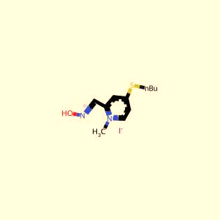 CCCCSc1cc[n+](C)c(/C=N/O)c1.[I-]